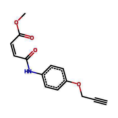 C#CCOc1ccc(NC(=O)/C=C\C(=O)OC)cc1